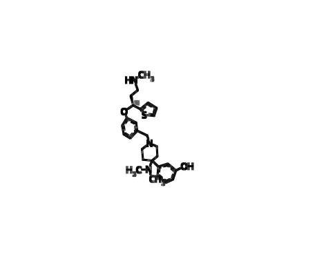 CNCC[C@H](Oc1cccc(CN2CCC(c3cccc(O)c3)(N(C)C)CC2)c1)c1cccs1